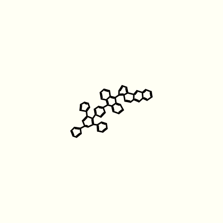 c1ccc(-c2cc(-c3ccccc3)c(-c3ccc(-c4c5ccccc5c(-c5cccc6c5ccc5cc7ccccc7cc56)c5ccccc45)cc3)c(-c3ccccc3)c2)cc1